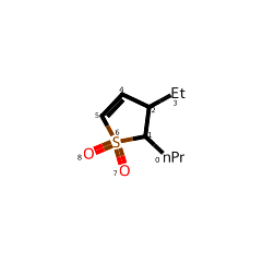 CCCC1C(CC)C=[C]S1(=O)=O